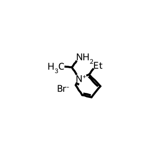 CCc1cccc[n+]1C(C)N.[Br-]